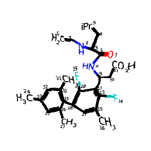 C=CNC(CC(C)C)C(=O)N[C@@H](CC(=O)O)c1c(F)c(C)cc(-c2c(C)cc(C)cc2C)c1F